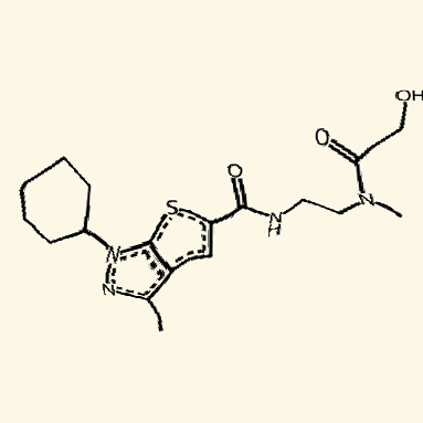 Cc1nn(C2CCCCC2)c2sc(C(=O)NCCN(C)C(=O)CO)cc12